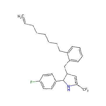 C=CCCCCCCc1ccccc1CC1C=C(C(F)(F)F)NC1c1ccc(F)cc1